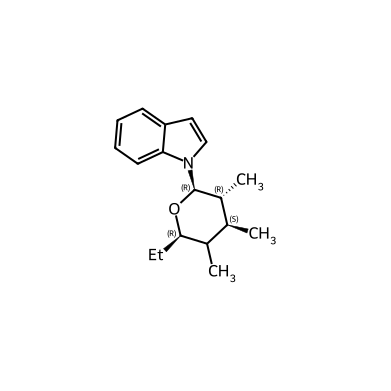 CC[C@H]1O[C@@H](n2ccc3ccccc32)[C@H](C)[C@@H](C)C1C